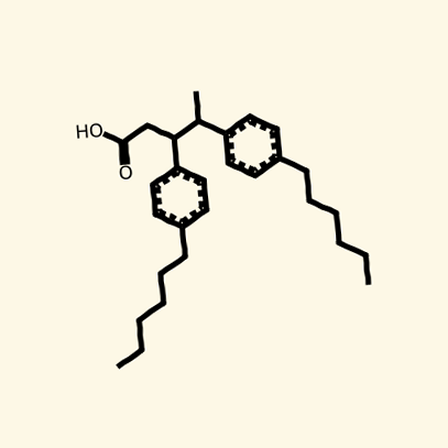 CCCCCCc1ccc(C(C)C(CC(=O)O)c2ccc(CCCCCC)cc2)cc1